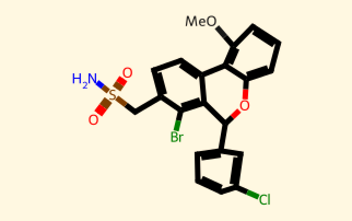 COc1cccc2c1-c1ccc(CS(N)(=O)=O)c(Br)c1C(c1cccc(Cl)c1)O2